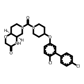 O=C1CO[C@H]2CCN(C(=O)N3CCC(Oc4ccc(Cl)c(-c5ccc(Cl)cc5)c4)CC3)C[C@H]2N1